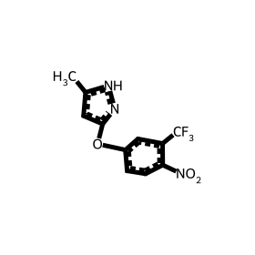 Cc1cc(Oc2ccc([N+](=O)[O-])c(C(F)(F)F)c2)n[nH]1